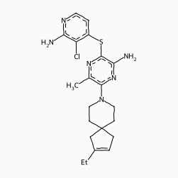 CCC1=CCC2(CCN(c3nc(N)c(Sc4ccnc(N)c4Cl)nc3C)CC2)C1